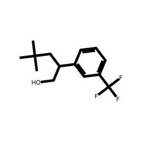 CC(C)(C)[CH]C(CO)c1cccc(C(F)(F)F)c1